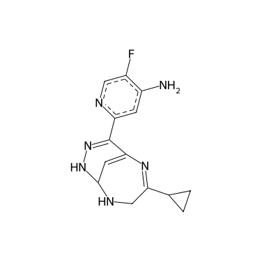 Nc1cc(C2=NNC3C=C2N=C(C2CC2)CN3)ncc1F